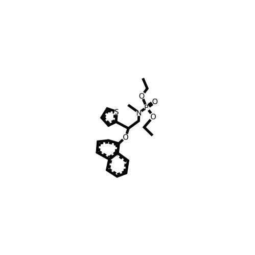 CCOP(=O)(OCC)N(C)CC(Oc1cccc2ccccc12)c1cccs1